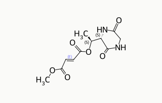 COC(=O)/C=C/C(=O)O[C@@H](C)[C@@H]1NC(=O)CNC1=O